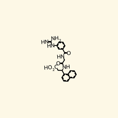 N=C(N)Nc1cccc(C(=O)NCC(=O)NC(CC(=O)O)c2cccc3ccccc23)c1